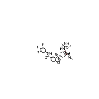 C[C@H]1CC2C[C@@H](S(=O)(=O)c3cc(C(=O)Nc4cc(F)c(F)c(F)c4)ccc3Cl)CC1[C@@]2(O)CNS(N)(=O)=O